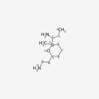 CCC(N)[Si]1(C)CCCC(CCN)O1